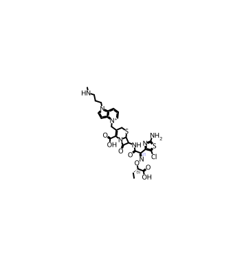 CC[C@H](O/N=C(\C(=O)NC1C(=O)N2C(C(=O)O)=C(C[n+]3cccc4c3ccn4CCCNC)CSC12)c1nc(N)sc1Cl)C(=O)O